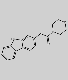 O=C(Cc1ccc2c(c1)[nH]c1ccccc12)N1CCOCC1